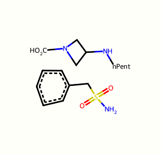 CCCCCNC1CN(C(=O)O)C1.NS(=O)(=O)Cc1ccccc1